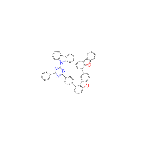 c1ccc(-c2nc(-c3ccc(-c4cccc5oc6ccc(-c7cccc8c7oc7ccccc78)cc6c45)cc3)nc(-n3c4ccccc4c4ccccc43)n2)cc1